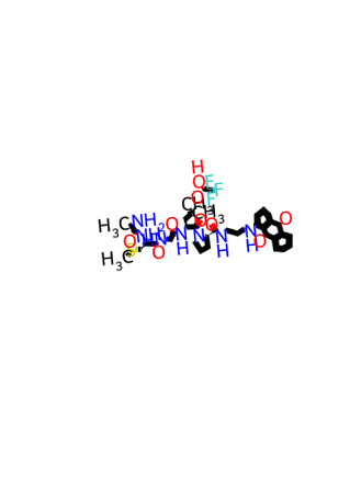 CSC[C@H](NC(=O)[C@H](C)N)C(=O)NCC(=O)N[C@@H](CC(C)C)C(=O)N1CCC[C@H]1C(=O)NCCCNc1cccc2c1C(=O)c1ccccc1C2=O.O=C(O)C(F)(F)F